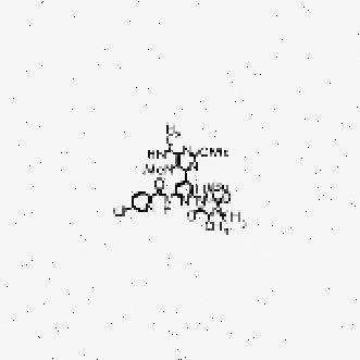 CNc1c(C(C)=N)nc(OC)nc1-c1cc(NC(=O)c2ccc(Cl)cn2)nc(NC(=O)C(C)N(C)C(=O)OC(C)(C)C)c1